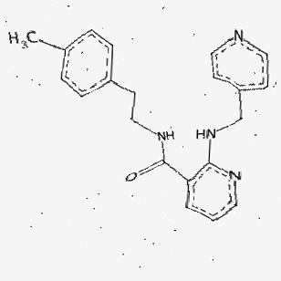 Cc1ccc(CCNC(=O)c2cccnc2NCc2ccncc2)cc1